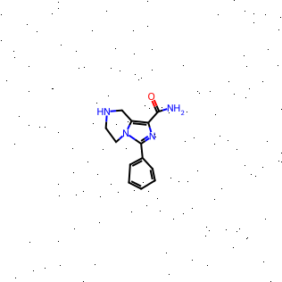 NC(=O)c1nc(-c2ccccc2)n2c1CNCC2